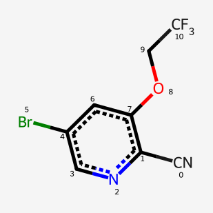 N#Cc1ncc(Br)cc1OCC(F)(F)F